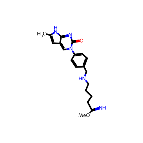 COC(=N)CCCCNCc1ccc(-n2cc3cc(C)[nH]c3nc2=O)cc1